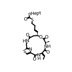 C/C=C1\NC(=O)c2csc(n2)CNC(=O)C[C@@H](/C=C/CCSC(=O)CCCCCCC)OC(=O)[C@@H](C)NC1=O